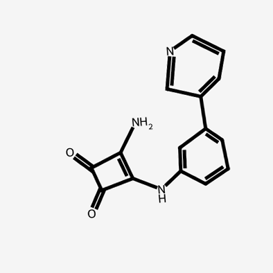 Nc1c(Nc2cccc(-c3cccnc3)c2)c(=O)c1=O